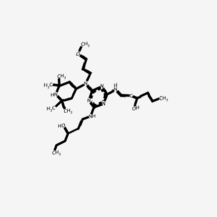 CCCC(O)CCNc1nc(NCCC(O)CCC)nc(N(CCCOC)C2CC(C)(C)NC(C)(C)C2)n1